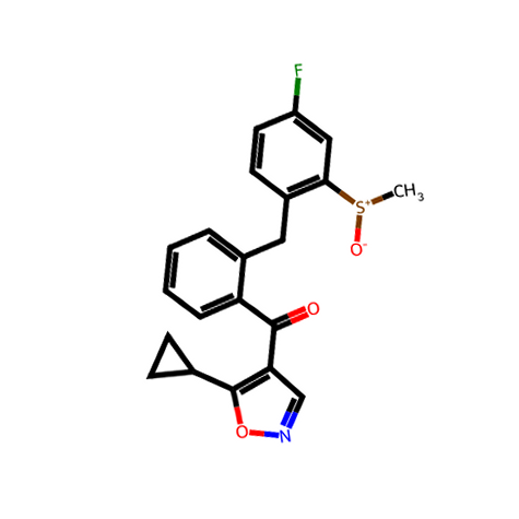 C[S+]([O-])c1cc(F)ccc1Cc1ccccc1C(=O)c1cnoc1C1CC1